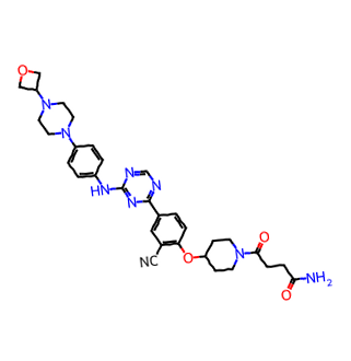 N#Cc1cc(-c2ncnc(Nc3ccc(N4CCN(C5COC5)CC4)cc3)n2)ccc1OC1CCN(C(=O)CCC(N)=O)CC1